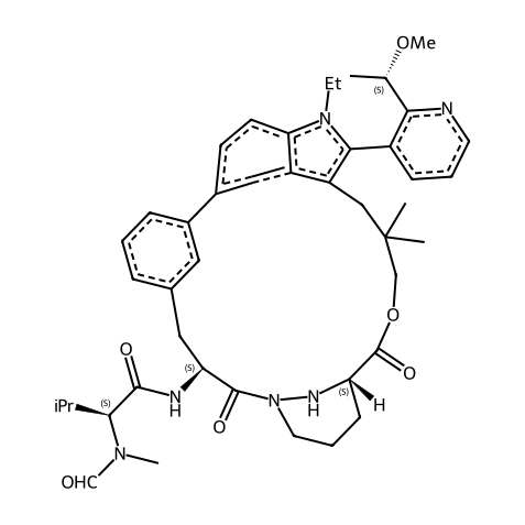 CCn1c(-c2cccnc2[C@H](C)OC)c2c3cc(ccc31)-c1cccc(c1)C[C@H](NC(=O)[C@H](C(C)C)N(C)C=O)C(=O)N1CCC[C@H](N1)C(=O)OCC(C)(C)C2